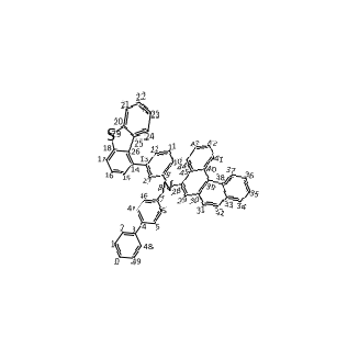 c1ccc(-c2ccc(N(c3cccc(-c4cccc5sc6ccccc6c45)c3)c3cc4ccc5ccccc5c4c4ccccc34)cc2)cc1